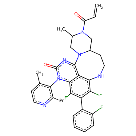 C=CC(=O)N1CC2CCNc3c(F)c(-c4ccccc4F)c(F)c4c3c(nc(=O)n4-c3c(C)ccnc3C(C)C)N2CC1C